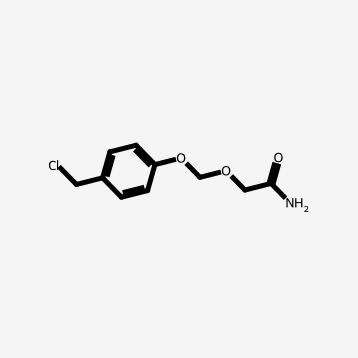 NC(=O)COCOc1ccc(CCl)cc1